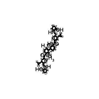 Cc1c(NC(=O)c2cc(C3CC3)c(CNC3CCC[C@@H]3O)cn2)cccc1-c1cccc(NC(=O)c2cc(C3CC3)c(CN[C@H]3CCC[C@@H]3O)cn2)c1C